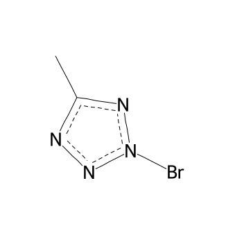 Cc1nnn(Br)n1